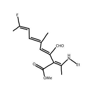 CCN\C(C)=C(C(=O)OC)/C(C=O)=C/C(C)=C/C=C(\C)F